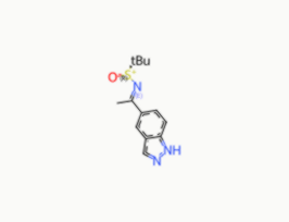 C/C(=N\[S@@+]([O-])C(C)(C)C)c1ccc2[nH]ncc2c1